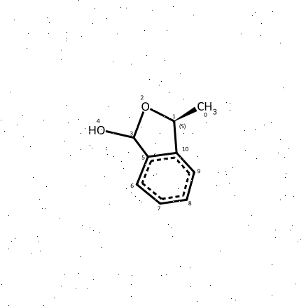 C[C@@H]1OC(O)c2ccccc21